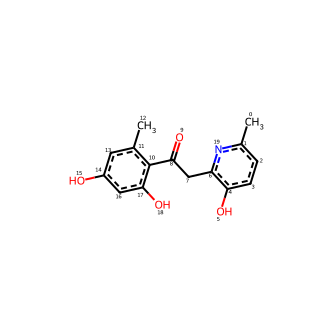 Cc1ccc(O)c(CC(=O)c2c(C)cc(O)cc2O)n1